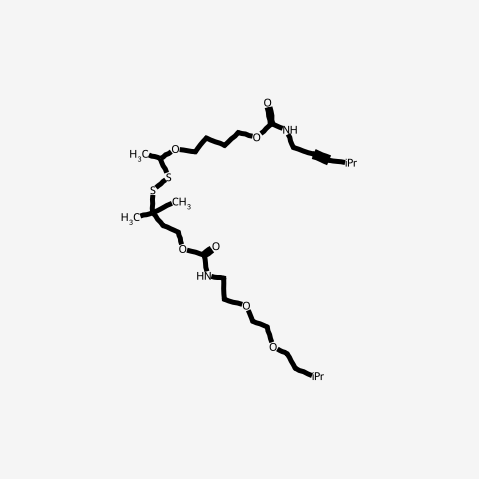 CC(C)C#CCNC(=O)OCCCCOC(C)SSC(C)(C)CCOC(=O)NCCOCCOCCC(C)C